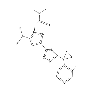 Cc1ccccc1C1(c2noc(-c3cc(C(F)F)n(CC(=O)N(C)C)n3)n2)CC1